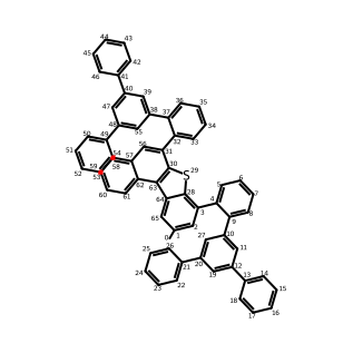 Cc1cc(-c2ccccc2-c2cc(-c3ccccc3)cc(-c3ccccc3)c2)c2sc3c(-c4ccccc4-c4cc(-c5ccccc5)cc(-c5ccccc5)c4)cc4ccccc4c3c2c1